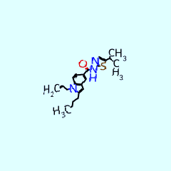 C=CCn1c(CCCC)cc2cc(C(=O)Nc3ncc(C(C)C)s3)ccc21